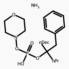 CCCCCCCCCCC(CCC)(Cc1ccccc1)OP(=O)(O)ON1CCOCC1.N